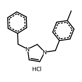 Cc1ccc(CN2C=CN(Cc3ccccc3)C2)cc1.Cl